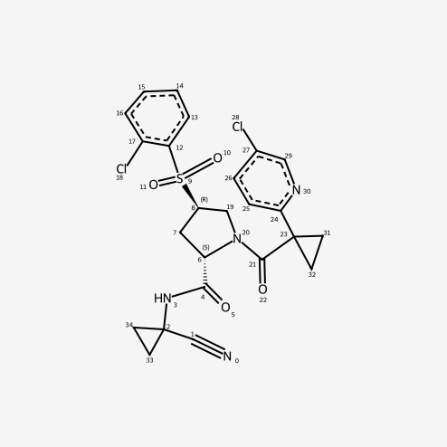 N#CC1(NC(=O)[C@@H]2C[C@@H](S(=O)(=O)c3ccccc3Cl)CN2C(=O)C2(c3ccc(Cl)cn3)CC2)CC1